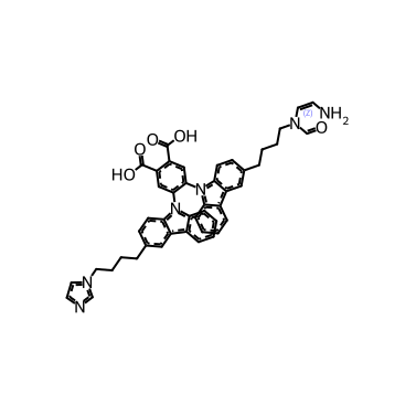 N/C=C\N(C=O)CCCCc1ccc2c(c1)c1ccccc1n2-c1cc(C(=O)O)c(C(=O)O)cc1-n1c2ccccc2c2cc(CCCCn3ccnc3)ccc21